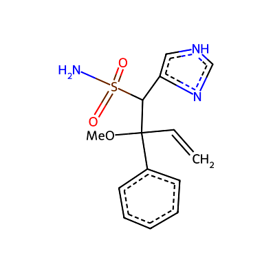 C=CC(OC)(c1ccccc1)C(c1c[nH]cn1)S(N)(=O)=O